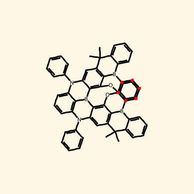 CC1(C)c2ccccc2B2c3ccccc3Oc3c4c(cc1c32)N(c1ccccc1)c1cccc2c1B4c1c(cc3c4c1Oc1ccccc1B4c1ccccc1C3(C)C)N2c1ccccc1